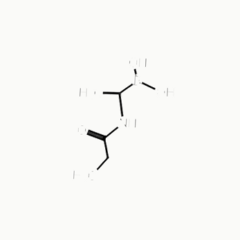 CCC(=O)NC(C)B(O)O